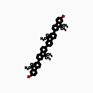 CC1(C)c2cc(Br)ccc2-c2ccc(-c3ccc4c(c3)C(C)(C)c3cc(-c5ccc6c(c5)C(C)(C)c5cc(-c7ccc8c(c7)C(C)(C)c7cc(Br)ccc7-8)ccc5-6)ccc3-4)cc21